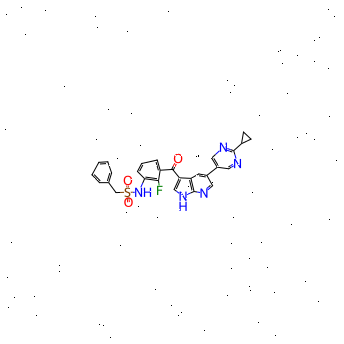 O=C(c1cccc(NS(=O)(=O)Cc2ccccc2)c1F)c1c[nH]c2ncc(-c3cnc(C4CC4)nc3)cc12